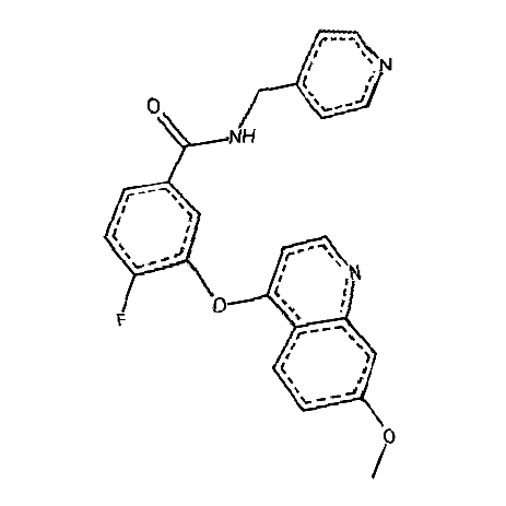 COc1ccc2c(Oc3cc(C(=O)NCc4ccncc4)ccc3F)ccnc2c1